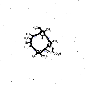 C=Cc1c2[nH]c(c1C)/C=C1N=C(/C(C)=c3\[nH]/c(c(C)c3C(=O)O)=C\C(=C)/C(CC)=C(C)\C(N)=C\2)[C@@H](CCC(=O)O)[C@@H]\1C